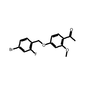 COc1cc(OCc2ccc(Br)cc2F)ccc1C(C)=O